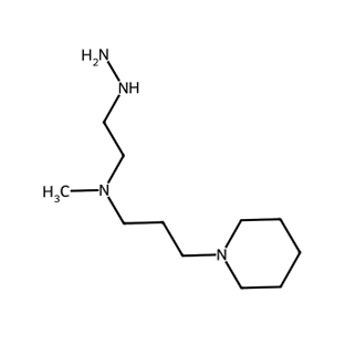 CN(CCCN1CCCCC1)CCNN